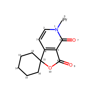 CC(C)n1ccc2c(c1=O)C(=O)OC21CCCCC1